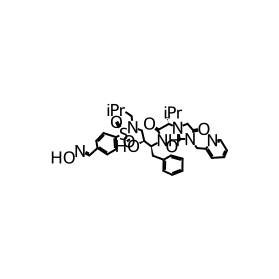 CC(C)CN(C[C@H](O)[C@H](Cc1ccccc1)NC(=O)[C@H](C(C)C)N1CC(=O)N(Cc2ccccn2)C1=O)S(=O)(=O)c1ccc(C=NO)cc1